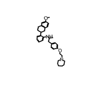 COc1ccc2c(c1)CCC(c1ccccc1NC(C)Cc1ccc(OCCN3CCCCCC3)cc1)C2